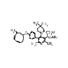 C=C1/C=C\C=C/CCC(Oc2ccc(-c3c(C)nc(C)c([C@H](OC(C)(C)C)C(=O)O)c3N3CCC(C)(C)CC3)cc2)C1